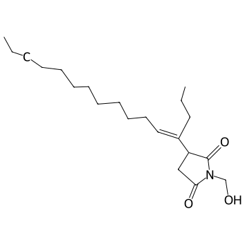 CCCCCCCCCCCC=C(CCC)C1CC(=O)N(CO)C1=O